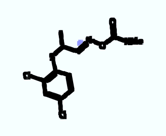 CNC(=O)O/N=C/C(C)Sc1ccc(Cl)cc1Cl